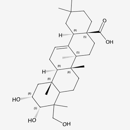 CC1(C)CC[C@]2(C(=O)O)CC[C@]3(C)C(=CC[C@@H]4[C@@]5(C)C[C@@H](O)[C@@H](O)C(C)(CO)C5CC[C@]43C)[C@H]2C1